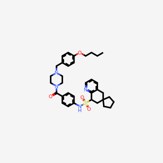 CCCCOc1ccc(CN2CCN(C(=O)c3ccc(NS(=O)(=O)C4CC5(CCCC5)Cc5cccnc54)cc3)CC2)cc1